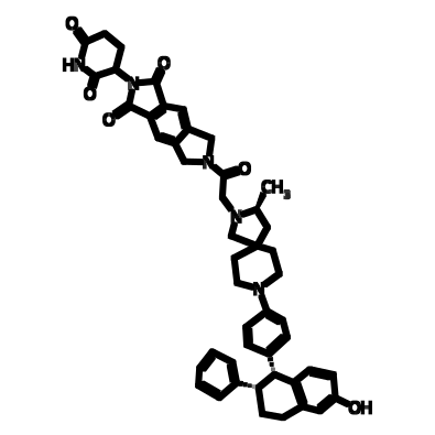 C[C@H]1CC2(CCN(c3ccc([C@@H]4c5ccc(O)cc5CC[C@@H]4c4ccccc4)cc3)CC2)CN1CC(=O)N1Cc2cc3c(cc2C1)C(=O)N(C1CCC(=O)NC1=O)C3=O